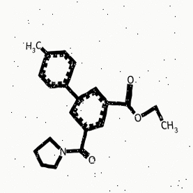 CCOC(=O)c1cc(C(=O)N2CCCC2)cc(-c2ccc(C)cc2)c1